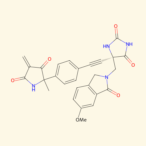 C=C1C(=O)NC(C)(c2ccc(C#C[C@]3(CN4Cc5ccc(OC)cc5C4=O)NC(=O)NC3=O)cc2)C1=O